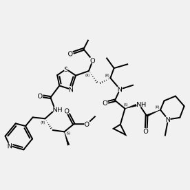 COC(=O)[C@@H](C)C[C@H](Cc1ccncc1)NC(=O)c1csc([C@@H](C[C@H](C(C)C)N(C)C(=O)[C@@H](NC(=O)[C@H]2CCCCN2C)C2CC2)OC(C)=O)n1